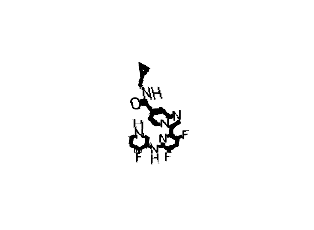 O=C(NCC1CC1)c1ccn2c(-c3nc(N[C@@H]4CNCC[C@H]4F)c(F)cc3F)cnc2c1